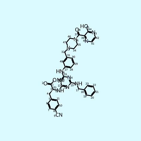 COC(=O)[C@H](Cc1ccc(C#N)cc1)Nc1nc(NCc2ccccc2)nc(Nc2cccc(CN3CCN(C(=O)c4nccnc4O)CC3)c2)n1